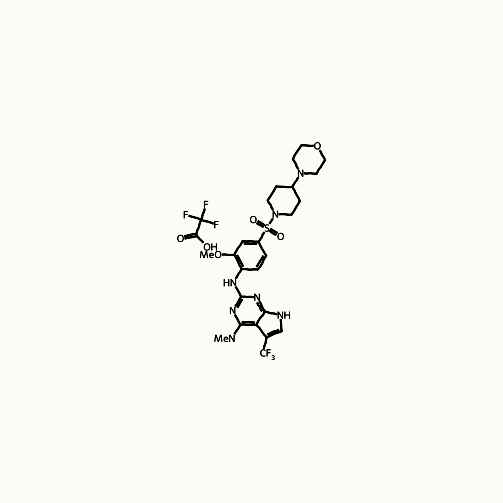 CNc1nc(Nc2ccc(S(=O)(=O)N3CCC(N4CCOCC4)CC3)cc2OC)nc2[nH]cc(C(F)(F)F)c12.O=C(O)C(F)(F)F